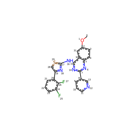 COc1ccc2nc(-c3cccnc3)nc(Nc3nc(-c4cccc(F)c4F)cs3)c2c1